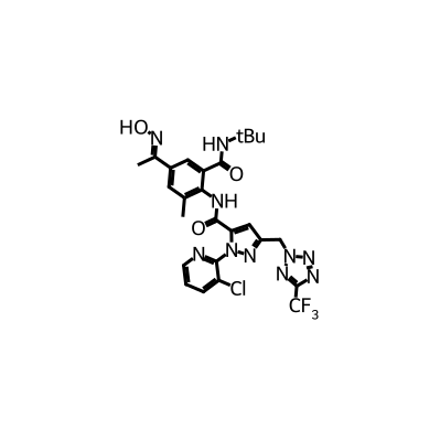 C/C(=N\O)c1cc(C)c(NC(=O)c2cc(Cn3nnc(C(F)(F)F)n3)nn2-c2ncccc2Cl)c(C(=O)NC(C)(C)C)c1